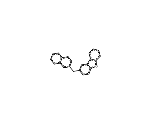 c1ccc2cc(Cc3ccc4oc5ccccc5c4c3)ccc2c1